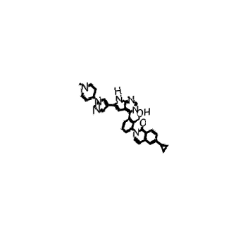 CN1CCC(n2cc(-c3cc4c(-c5cccc(-n6ccc7cc(C8CC8)ccc7c6=O)c5CO)ncnc4[nH]3)cn2)CC1